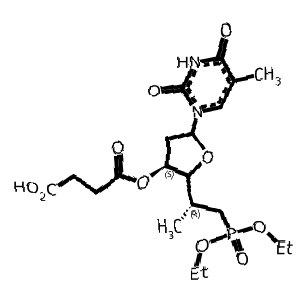 CCOP(=O)(C[C@H](C)C1OC(n2cc(C)c(=O)[nH]c2=O)C[C@@H]1OC(=O)CCC(=O)O)OCC